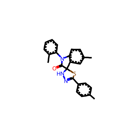 Cc1ccc(C2=NNC3(S2)C(=O)N(c2ccccc2C)c2ccc(C)cc23)cc1